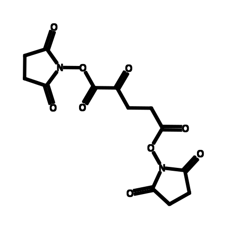 O=C(CCC(=O)C(=O)ON1C(=O)CCC1=O)ON1C(=O)CCC1=O